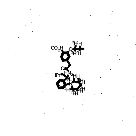 [2H]C([2H])(C)C([2H])([2H])Oc1cc(CC(=O)N[C@@]([2H])(CC(C)C)c2ccccc2N2C([2H])([2H])C([2H])([2H])C([2H])([2H])C([2H])([2H])C2([2H])[2H])ccc1C(=O)O